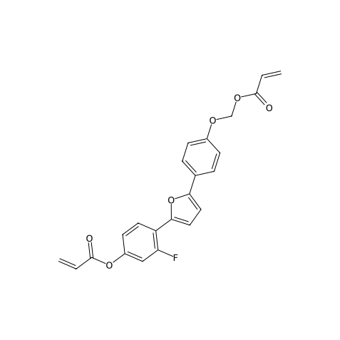 C=CC(=O)OCOc1ccc(-c2ccc(-c3ccc(OC(=O)C=C)cc3F)o2)cc1